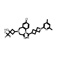 Cc1cc(C)nc(N2CC3(CC(c4nnc5n4-c4ccc(Cl)cc4CN(C4CC(O)(C(F)(F)F)C4)C5)C3)C2)c1